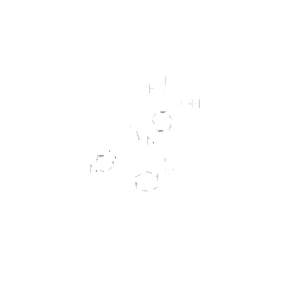 COc1cccc(O[C@H]2CCc3cc(C(O)(CF)C(F)(F)F)ccc3N(C(=O)CCn3ccnc3)C2)c1